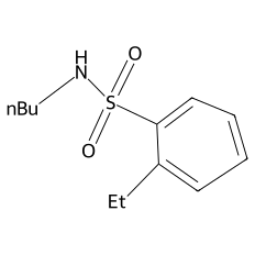 CCCCNS(=O)(=O)c1ccccc1CC